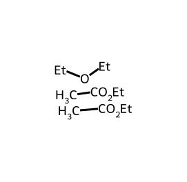 CCOC(C)=O.CCOC(C)=O.CCOCC